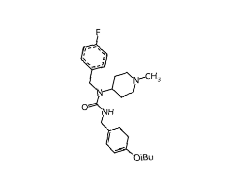 CC(C)COC1=CC=C(CNC(=O)N(Cc2ccc(F)cc2)C2CCN(C)CC2)CC1